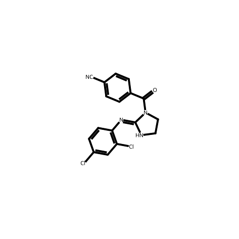 N#Cc1ccc(C(=O)N2CCNC2=Nc2ccc(Cl)cc2Cl)cc1